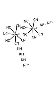 N#[C][Fe-3]([C]#N)([C]#N)([C]#N)([C]#N)[C]#N.N#[C][Fe-3]([C]#N)([C]#N)([C]#N)([C]#N)[C]#N.[KH].[KH].[KH].[Ni+2].[Ni+2].[Ni+2]